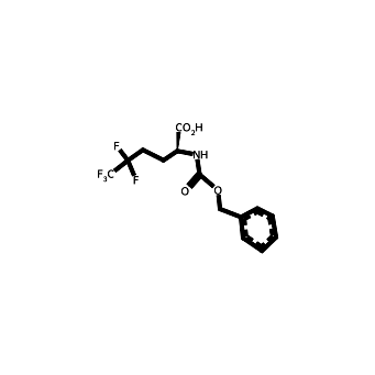 O=C(N[C@@H](CCC(F)(F)C(F)(F)F)C(=O)O)OCc1ccccc1